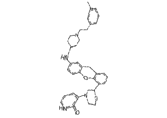 Cc1cccc(CCN2CCC(Nc3ccc4c(c3)Cc3cccc(C5CN(c6ccc[nH]c6=O)CCO5)c3O4)CC2)c1